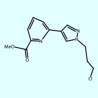 COC(=O)c1cccc(-c2cnn(CCCCl)c2)n1